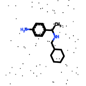 CC(NCC1CCCCC1)c1ccc(N)cc1